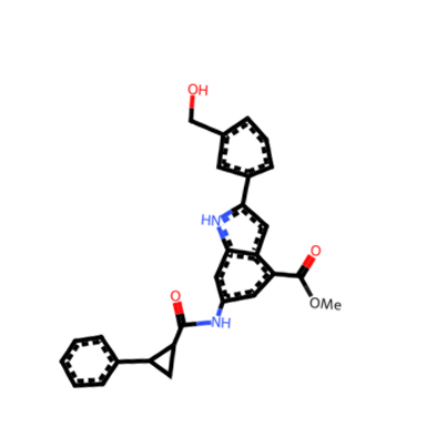 COC(=O)c1cc(NC(=O)C2CC2c2ccccc2)cc2[nH]c(-c3cccc(CO)c3)cc12